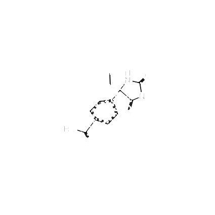 CC[C@]1(c2ccc(C(=O)O)cc2)NC(=O)NC1=O